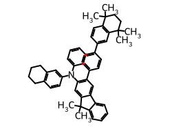 CC1(C)CCC(C)(C)c2cc(-c3ccc(-c4cc5c(cc4N(c4ccccc4)c4ccc6c(c4)CCCC6)C(C)(C)c4ccccc4-5)cc3)ccc21